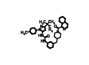 Cc1ccc(-n2nc(C(C)(C)C)cc2NC(=O)Nc2cccc(CC3CCN(C(=O)c4nccc5ccccc45)CC3)c2)cc1